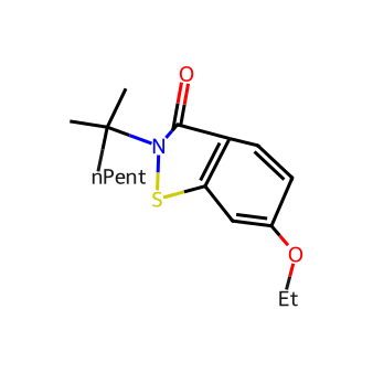 CCCCCC(C)(C)n1sc2cc(OCC)ccc2c1=O